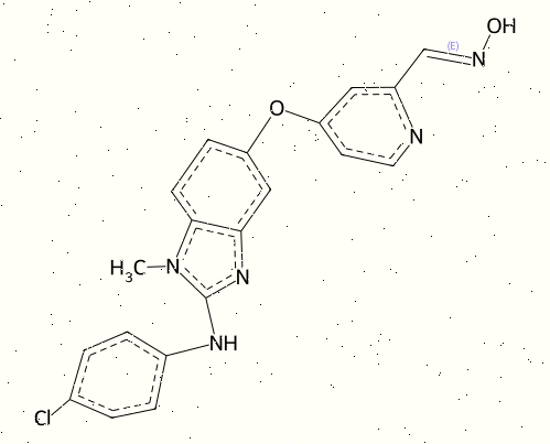 Cn1c(Nc2ccc(Cl)cc2)nc2cc(Oc3ccnc(/C=N/O)c3)ccc21